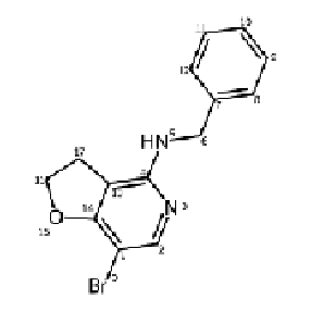 Brc1cnc(NCc2ccccc2)c2c1OCC2